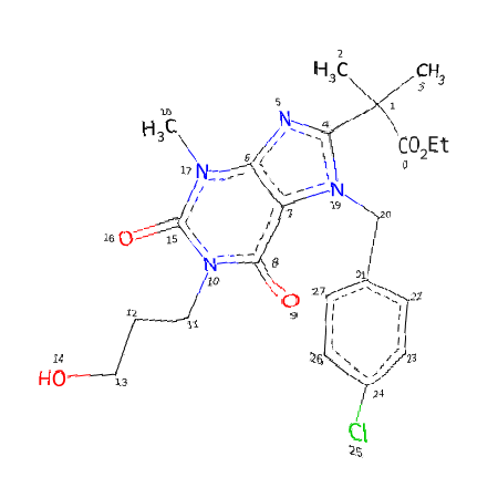 CCOC(=O)C(C)(C)c1nc2c(c(=O)n(CCCO)c(=O)n2C)n1Cc1ccc(Cl)cc1